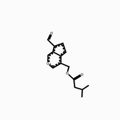 CC(C)CC(=O)OCc1cocc2c(C=O)ccc1-2